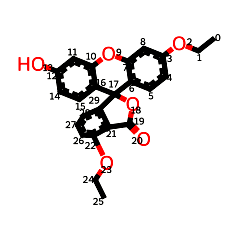 CCOc1ccc2c(c1)Oc1cc(O)ccc1C21OC(=O)c2c(OCC)cccc21